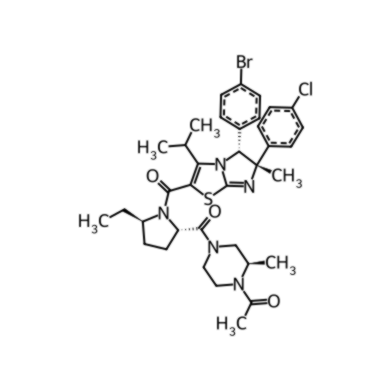 CC[C@@H]1CC[C@@H](C(=O)N2CCN(C(C)=O)[C@H](C)C2)N1C(=O)C1=C(C(C)C)N2C(=N[C@@](C)(c3ccc(Cl)cc3)[C@H]2c2ccc(Br)cc2)S1